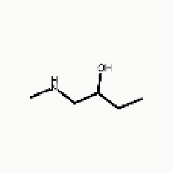 CCC(O)CNC